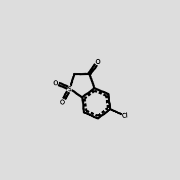 O=C1CS(=O)(=O)c2ccc(Cl)cc21